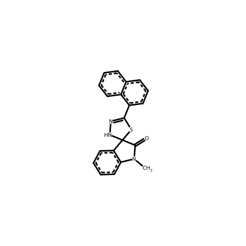 CN1C(=O)C2(NN=C(c3cccc4ccccc34)S2)c2ccccc21